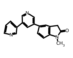 CN1C(=O)Cc2cc(-c3cncc(-c4cccnc4)c3)ccc21